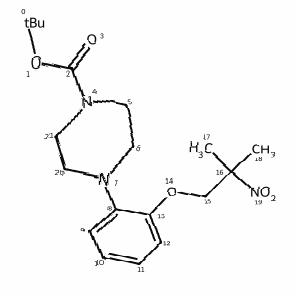 CC(C)(C)OC(=O)N1CCN(c2ccccc2OCC(C)(C)[N+](=O)[O-])CC1